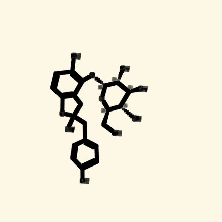 OC[C@H]1O[C@H](Oc2c(O)ccc3c2CC(O)(Cc2ccc(O)cc2)O3)[C@H](O)[C@@H](O)[C@@H]1O